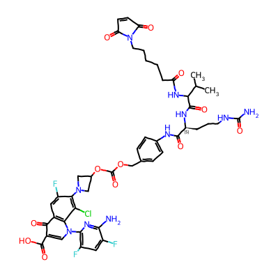 CC(C)C(NC(=O)CCCCCN1C(=O)C=CC1=O)C(=O)N[C@@H](CCCNC(N)=O)C(=O)Nc1ccc(COC(=O)OC2CN(c3c(F)cc4c(=O)c(C(=O)O)cn(-c5nc(N)c(F)cc5F)c4c3Cl)C2)cc1